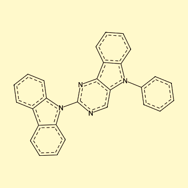 c1ccc(-n2c3ccccc3c3nc(-n4c5ccccc5c5ccccc54)ncc32)cc1